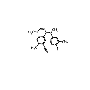 CC/C=C\C(=C(/C)c1ccc(F)c(C)c1)c1ccc(C)c(C#N)c1